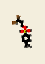 Cc1ccc(S(=O)(=O)OCCC(Br)Br)cc1